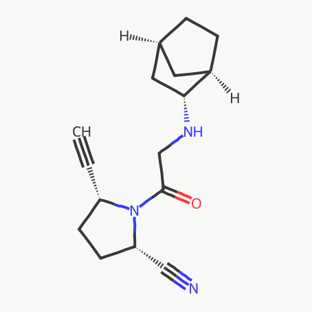 C#C[C@H]1CC[C@@H](C#N)N1C(=O)CN[C@@H]1C[C@H]2CC[C@@H]1C2